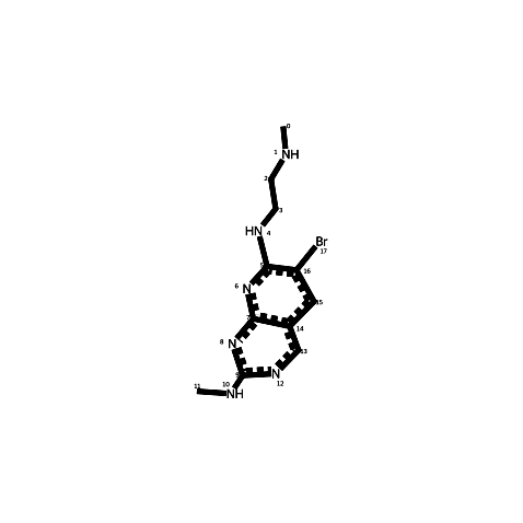 CNCCNc1nc2nc(NC)ncc2cc1Br